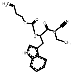 C=CCCOC(=O)NC(Cc1c[nH]c2ccccc12)C(=O)N(C#N)CC